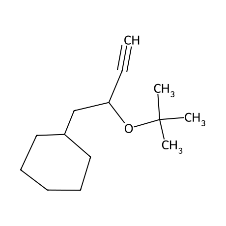 C#CC(CC1CCCCC1)OC(C)(C)C